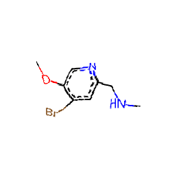 CNCc1cc(Br)c(OC)cn1